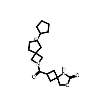 O=C1NC2(CO1)CC(C(=O)N1CC3(CC[C@@H](C4CCCC4)C3)C1)C2